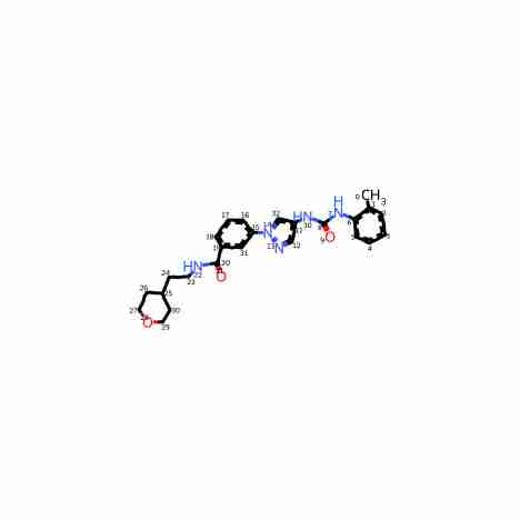 Cc1ccccc1NC(=O)Nc1cnn(-c2cccc(C(=O)NCCC3CCOCC3)c2)c1